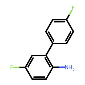 Nc1ccc(F)cc1-c1ccc(F)cc1